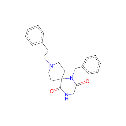 O=C1CNC(=O)C2(CCN(CCc3ccccc3)CC2)N1Cc1ccccc1